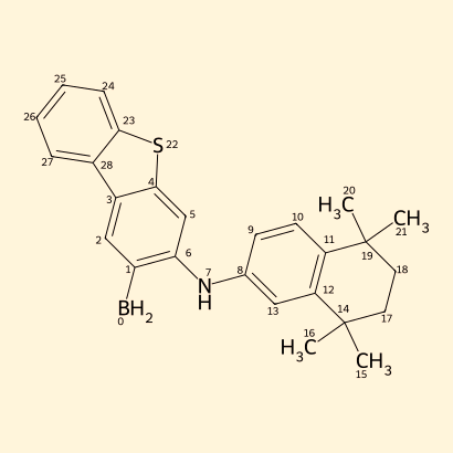 Bc1cc2c(cc1Nc1ccc3c(c1)C(C)(C)CCC3(C)C)sc1ccccc12